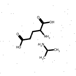 CC(C)N.NC(CCC(=O)O)C(=O)O